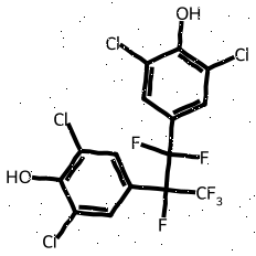 Oc1c(Cl)cc(C(F)(F)C(F)(c2cc(Cl)c(O)c(Cl)c2)C(F)(F)F)cc1Cl